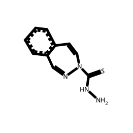 NNC(=S)N1C=Cc2ccccc2C=N1